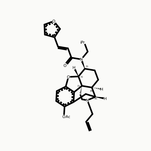 C=CCN1CC[C@@]23c4c5ccc(OC(C)=O)c4C[C@@H]1[C@@H]2CC[C@H](N(CC(C)C)C(=O)C=Cc1ccoc1)[C@H]3O5